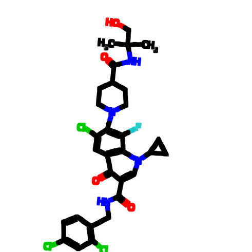 CC(C)(CO)NC(=O)C1CCN(c2c(Cl)cc3c(=O)c(C(=O)NCc4ccc(Cl)cc4Cl)cn(C4CC4)c3c2F)CC1